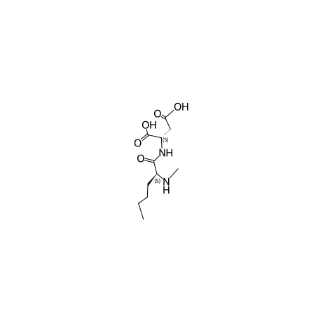 CCCC[C@H](NC)C(=O)N[C@@H](CC(=O)O)C(=O)O